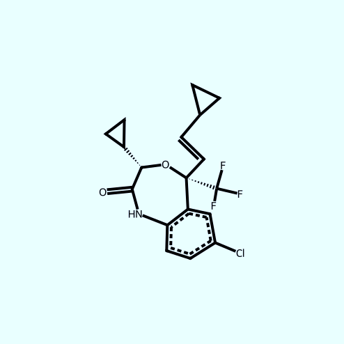 O=C1Nc2ccc(Cl)cc2[C@@](C=CC2CC2)(C(F)(F)F)O[C@H]1C1CC1